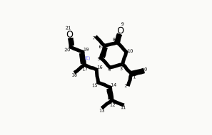 C=C(C)C1CC=C(C)C(=O)C1.CC(C)=CCC/C(C)=C/C=O